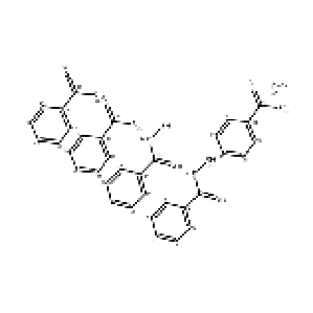 S=C(SS)c1ccccc1.S=C(SS)c1ccccc1.S=C([S-])c1ccccc1.S=C([S-])c1ccccc1.S=C([S-])c1ccccc1.[Re+3]